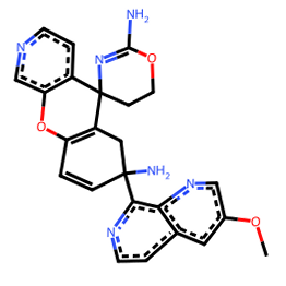 COc1cnc2c(C3(N)C=CC4=C(C3)C3(CCOC(N)=N3)c3ccncc3O4)nccc2c1